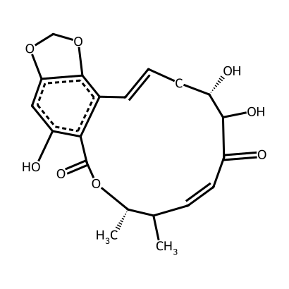 CC1/C=C\C(=O)C(O)[C@@H](O)C/C=C/c2c3c(cc(O)c2C(=O)O[C@H]1C)OCO3